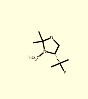 CC(C)(F)[C@H]1COC(C)(C)N1C(=O)O